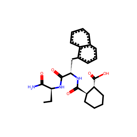 CC[C@H](NC(=O)[C@H](Cc1cccc2ccccc12)NC(=O)[C@@H]1CCCC[C@H]1C(=O)O)C(N)=O